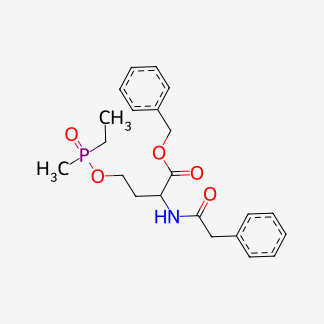 CCP(C)(=O)OCCC(NC(=O)Cc1ccccc1)C(=O)OCc1ccccc1